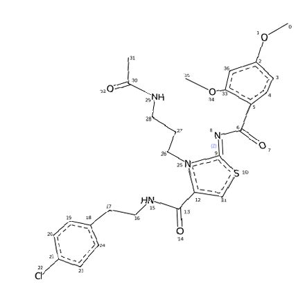 COc1ccc(C(=O)/N=c2\scc(C(=O)NCCc3ccc(Cl)cc3)n2CCCNC(C)=O)c(OC)c1